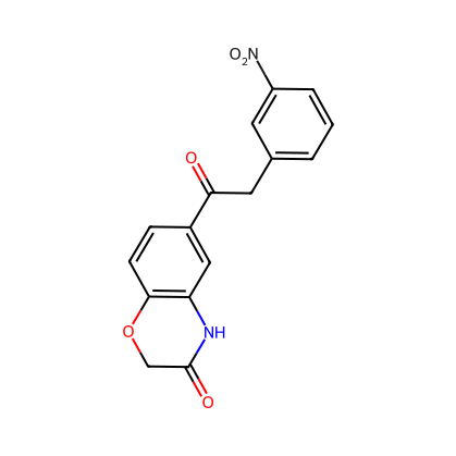 O=C1COc2ccc(C(=O)Cc3cccc([N+](=O)[O-])c3)cc2N1